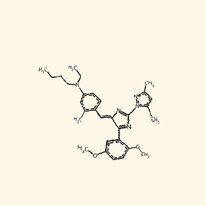 CCCCN(CC)c1ccc(/C=C2\N=C(n3nc(C)cc3C)N=C2c2cc(OC)ccc2OC)c(C)c1